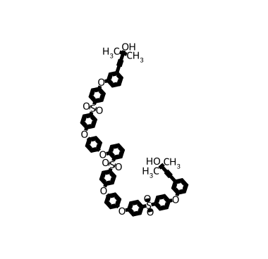 CC(C)(O)C#Cc1cccc(Oc2ccc(S(=O)(=O)c3ccc(Oc4ccc(Oc5ccc(S(=O)(=O)c6ccccc6Oc6ccc(Oc7ccc(S(=O)(=O)c8ccc(Oc9cccc(C#CC(C)(C)O)c9)cc8)cc7)cc6)cc5)cc4)cc3)cc2)c1